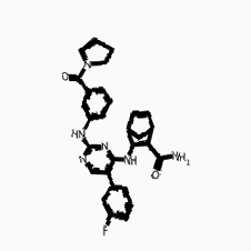 NC(=O)C1C2C=CC(C2)C1Nc1nc(Nc2cccc(C(=O)N3CCCC3)c2)ncc1-c1cccc(F)c1